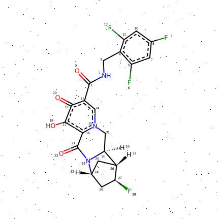 O=C(NCc1c(F)cc(F)cc1F)c1cn2c(c(O)c1=O)C(=O)N1[C@@H]3C[C@@H]([C@@H](F)C3)[C@@H]1C2